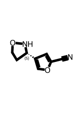 N#Cc1cc([C@@H]2CCON2)co1